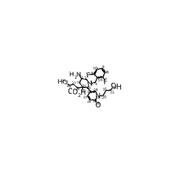 NC1CN(Cc2c(F)cccc2F)C(c2ccc(=O)n(CCCO)c2)C(CCCO)(C(=O)O)C1